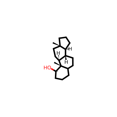 C[C@@]12CCC[C@H]1[C@@H]1CCC3CCC[C](O)[C@]3(C)[C@H]1CC2